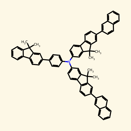 CC1(C)c2ccccc2-c2ccc(-c3ccc(N(c4ccc5c(c4)C(C)(C)c4cc(-c6ccc7ccccc7c6)ccc4-5)c4ccc5c(c4)C(C)(C)c4cc(-c6ccc7ccccc7c6)ccc4-5)cc3)cc21